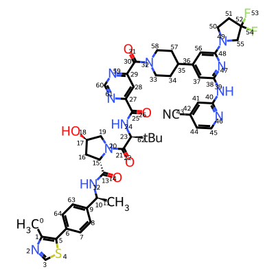 Cc1ncsc1-c1ccc([C@H](C)NC(=O)[C@@H]2C[C@@H](O)CN2C(=O)[C@@H](NC(=O)c2cc(C(=O)N3CCC(c4cc(Nc5cc(C#N)ccn5)nc(N5CCC(F)(F)C5)c4)CC3)ncn2)C(C)(C)C)cc1